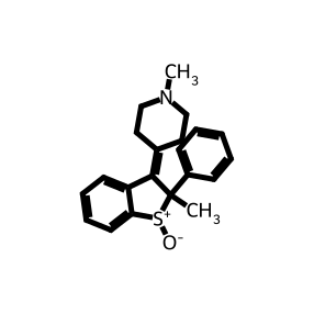 CN1CCC(=C2c3ccccc3[S+]([O-])C2(C)c2ccccc2)CC1